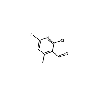 Cc1cc(Cl)nc(Cl)c1C=O